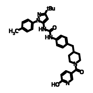 Cc1ccc(-n2nc(C(C)(C)C)cc2NC(=O)Nc2ccc(CC3CCN(C(=O)c4ccc(O)nc4)CC3)cc2)cc1